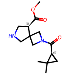 COC(=O)[C@@H]1CNCC12CN(C(=O)[C@H]1CC1(C)C)C2